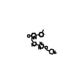 Cc1cccc(-c2ccc(=O)n(Cc3cc(-c4ncc(OCC5CCN(C)CC5)cn4)cs3)n2)c1